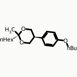 CCCCCC[C@]1(C)OC[C@@H](c2ccc(OCCCC)cc2)CO1